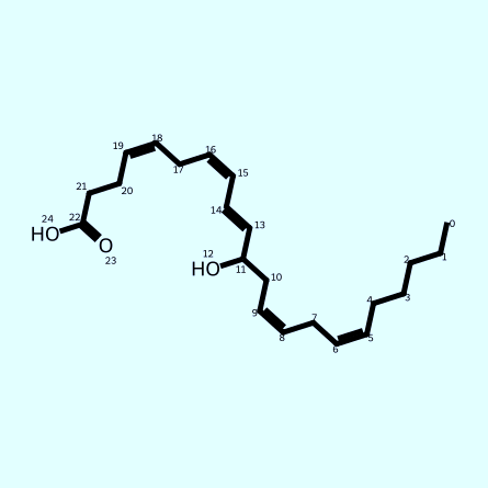 CCCCC/C=C\C/C=C\CC(O)/C=C/C=C\C/C=C\CCC(=O)O